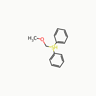 COC[SH](c1ccccc1)c1ccccc1